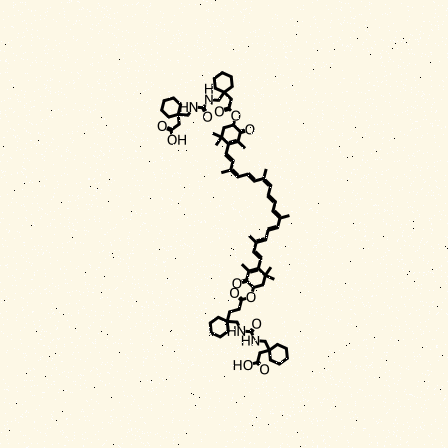 CC(C=CC=C(C)C=CC1=C(C)C(=O)C(OC(=O)CCC2(CNC(=O)NCC3(CC(=O)O)CCCCC3)CCCCC2)CC1(C)C)=CC=CC=C(C)C=CC=C(C)C=CC1=C(C)C(=O)C(OC(=O)CC2(CNC(=O)NCC3(CC(=O)O)CCCCC3)CCCCC2)CC1(C)C